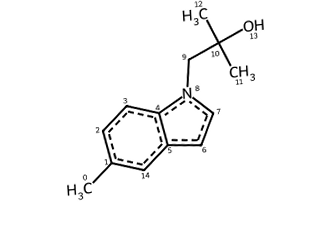 Cc1ccc2c(ccn2CC(C)(C)O)c1